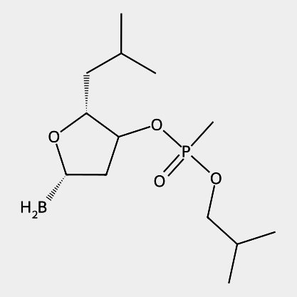 B[C@H]1CC(OP(C)(=O)OCC(C)C)[C@@H](CC(C)C)O1